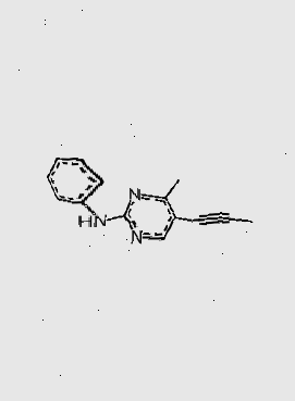 CC#Cc1cnc(Nc2ccccc2)nc1C